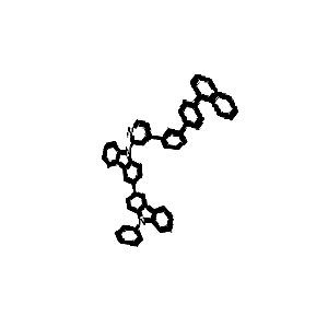 c1ccc(-n2c3ccccc3c3cc(-c4ccc5c(c4)c4ccccc4n5-c4cc(-c5cccc(-c6ccc(-c7cccc8ccccc78)cc6)c5)ccn4)ccc32)cc1